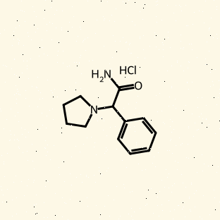 Cl.NC(=O)C(c1ccccc1)N1CCCC1